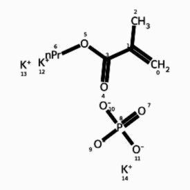 C=C(C)C(=O)OCCC.O=P([O-])([O-])[O-].[K+].[K+].[K+]